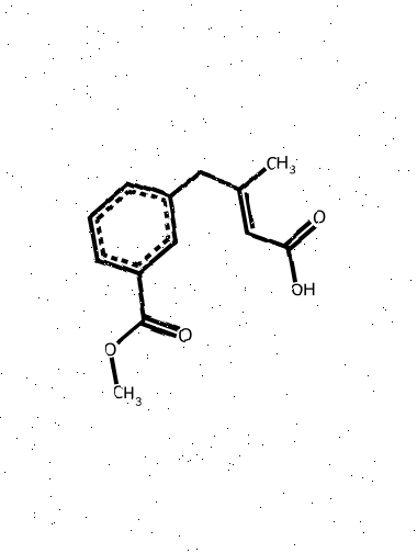 COC(=O)c1cccc(CC(C)=CC(=O)O)c1